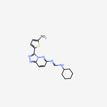 O=[N+]([O-])c1ccc(-c2nnc3ccc(N=CNC4CCCCC4)nn23)s1